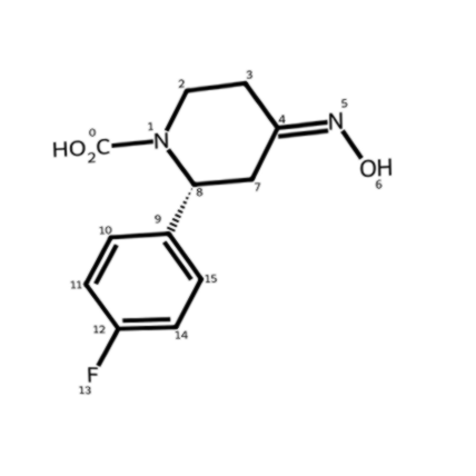 O=C(O)N1CCC(=NO)C[C@@H]1c1ccc(F)cc1